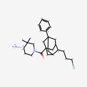 CC1(C)CN(C(=O)C23CC4CC(c5ccccc5)(CC(C2)C4CCCCl)C3)CC[C@@H]1N